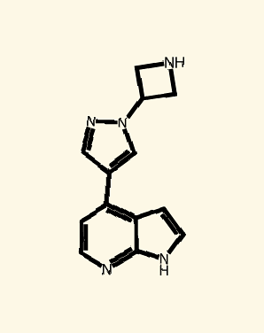 c1cc(-c2cnn(C3CNC3)c2)c2cc[nH]c2n1